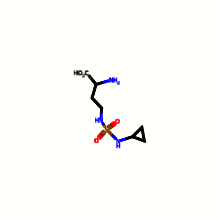 NC(CCNS(=O)(=O)NC1CC1)C(=O)O